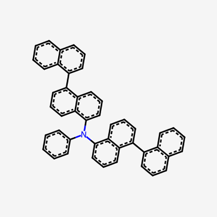 c1ccc(N(c2cccc3c(-c4cccc5ccccc45)cccc23)c2cccc3c(-c4cccc5ccccc45)cccc23)cc1